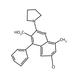 Cc1cc(Cl)cc2c(-c3ccccc3)c(C(=O)O)c(N3CCCC3)nc12